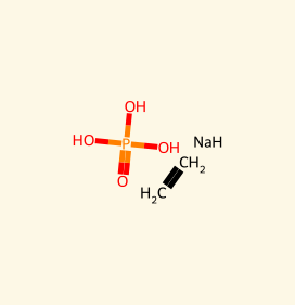 C=C.O=P(O)(O)O.[NaH]